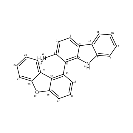 Nc1ccc2c([nH]c3ccccc32)c1-c1cccc2oc3ccccc3c12